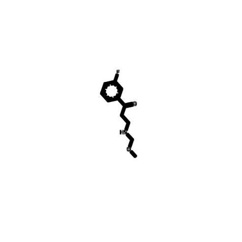 COCNCCC(=O)c1cccc(F)c1